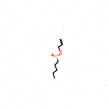 C=CCO[PH](=O)CCCCC